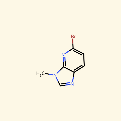 Cn1[c]nc2ccc(Br)nc21